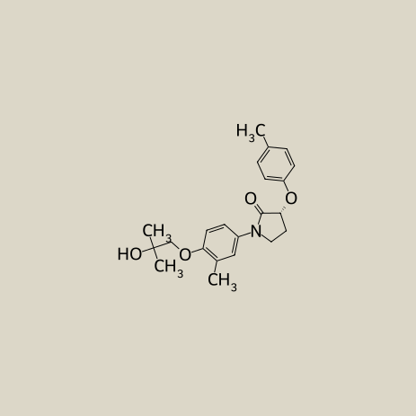 Cc1ccc(O[C@@H]2CCN(c3ccc(OCC(C)(C)O)c(C)c3)C2=O)cc1